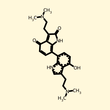 CN(C)CCC1=C2C(=O)C=CC(c3ccc(O)c4c(CCN(C)C)c[nH]c34)=C2NC1=O